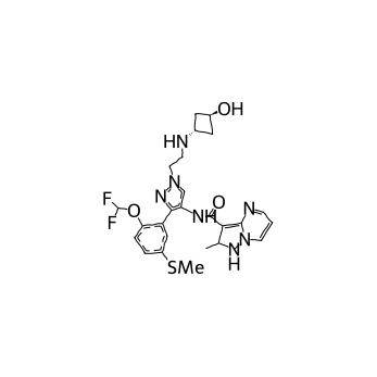 CSc1ccc(OC(F)F)c(-c2nn(CCN[C@H]3C[C@H](O)C3)cc2NC(=O)C2=C3N=CC=CN3NC2C)c1